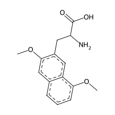 COc1cc2cccc(OC)c2cc1CC(N)C(=O)O